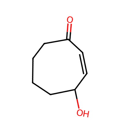 O=C1C=CC(O)CCCC1